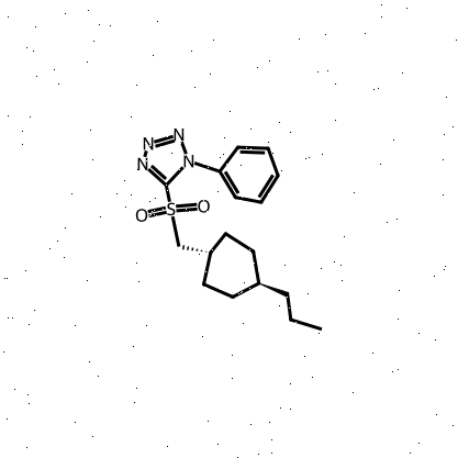 CCC[C@H]1CC[C@H](CS(=O)(=O)c2nnnn2-c2ccccc2)CC1